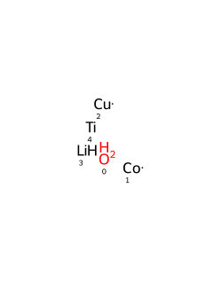 O.[Co].[Cu].[LiH].[Ti]